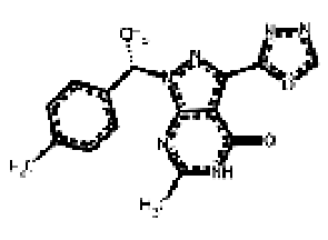 Cc1nc2c(c(-c3nnco3)nn2[C@@H](C)c2ccc(C(F)(F)F)cc2)c(=O)[nH]1